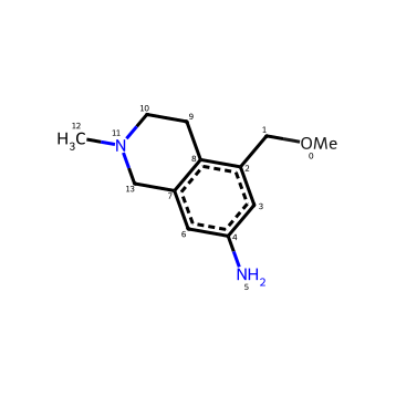 COCc1cc(N)cc2c1CCN(C)C2